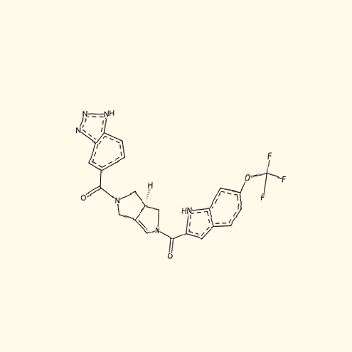 O=C(c1cc2ccc(OC(F)(F)F)cc2[nH]1)N1C=C2CN(C(=O)c3ccc4[nH]nnc4c3)C[C@H]2C1